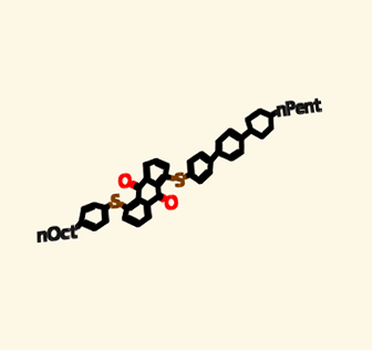 CCCCCCCCc1ccc(Sc2cccc3c2C(=O)c2cccc(Sc4ccc(-c5ccc(C6CCC(CCCCC)CC6)cc5)cc4)c2C3=O)cc1